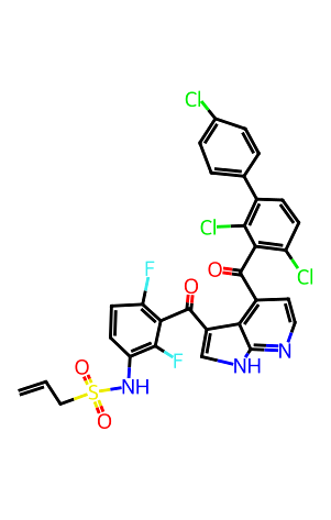 C=CCS(=O)(=O)Nc1ccc(F)c(C(=O)c2c[nH]c3nccc(C(=O)c4c(Cl)ccc(-c5ccc(Cl)cc5)c4Cl)c23)c1F